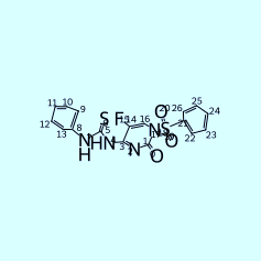 O=c1nc(NC(=S)Nc2ccccc2)c(F)cn1S(=O)(=O)c1ccccc1